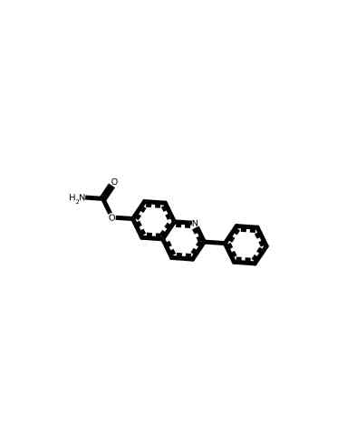 NC(=O)Oc1ccc2nc(-c3ccccc3)ccc2c1